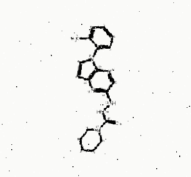 Cc1ccccc1-n1ccc2nc(NNC(=O)N3CCCCC3)cnc21